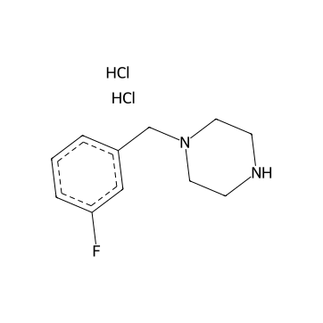 Cl.Cl.Fc1cccc(CN2CCNCC2)c1